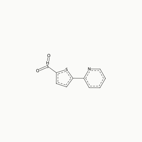 O=[SH](=O)c1ccc(-c2ccccn2)s1